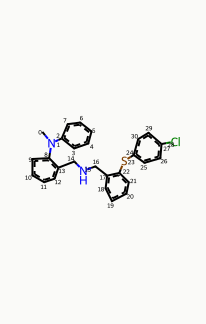 CN(c1ccccc1)c1ccccc1CNCc1ccccc1Sc1ccc(Cl)cc1